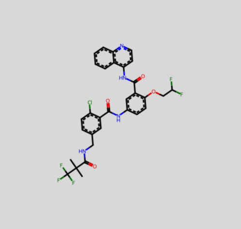 CC(C)(C(=O)NCc1ccc(Cl)c(C(=O)Nc2ccc(OCC(F)F)c(C(=O)Nc3ccnc4ccccc34)c2)c1)C(F)(F)F